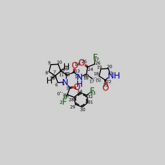 C[C@](F)(C(=O)N1C[C@@H]2CCC[C@@H]2[C@H]1C(=O)N[C@H](C[C@@H]1CCNC1=O)C(=O)CF)c1cccc(F)c1